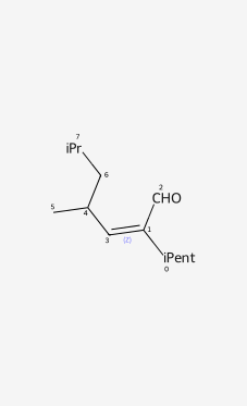 CCCC(C)/C(C=O)=C/C(C)CC(C)C